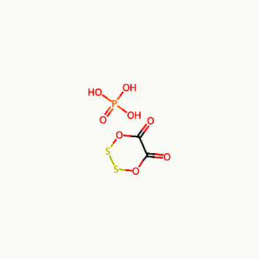 O=C1OSSOC1=O.O=P(O)(O)O